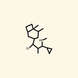 CCC(C1CC(C)C2(C)CCC2C1)C(C)C(PC)C1CC1